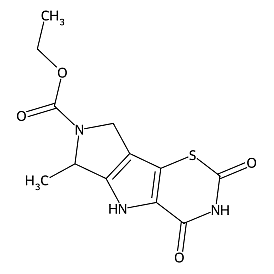 CCOC(=O)N1Cc2c([nH]c3c(=O)[nH]c(=O)sc23)C1C